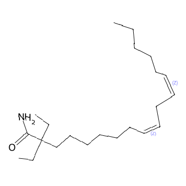 CCCCC/C=C\C/C=C\CCCCCCC(CC)(CC)C(N)=O